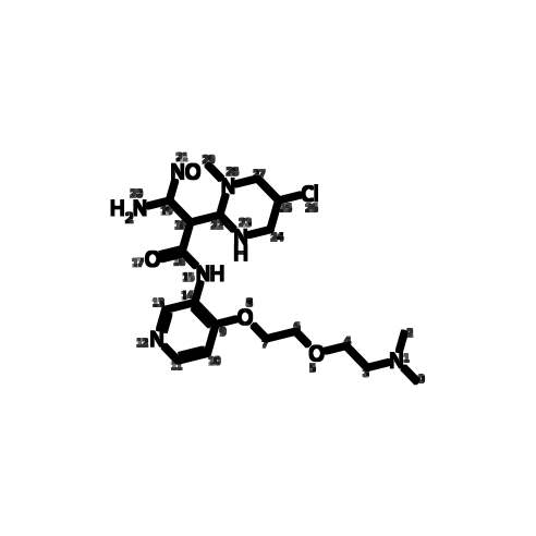 CN(C)CCOCCOc1ccncc1NC(=O)C(C(N)N=O)C1NCC(Cl)CN1C